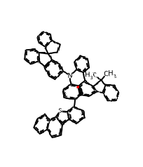 CC1(C)c2ccccc2-c2cccc(-c3ccccc3N(c3ccc(-c4cccc5c4sc4c6ccccc6ccc54)cc3)c3ccc4c(c3)C3(CCc5ccccc53)c3ccccc3-4)c21